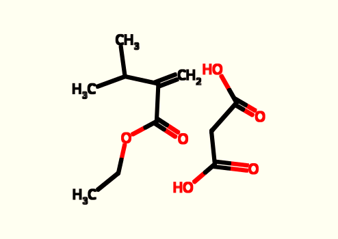 C=C(C(=O)OCC)C(C)C.O=C(O)CC(=O)O